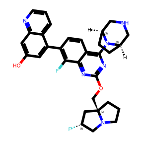 Oc1cc(-c2ccc3c(N4[C@@H]5CC[C@H]4CNC5)nc(OC[C@@]45CCCN4C[C@H](F)C5)nc3c2F)c2cccnc2c1